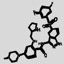 CN1CCN(c2ccc(C(=O)Nc3n[nH]c4ccc(S(=O)(=O)c5cc(F)cc(F)c5)cc34)c(NCC3CCCN3)c2)CC1